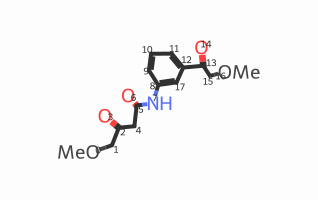 COCC(=O)CC(=O)Nc1cccc(C(=O)COC)c1